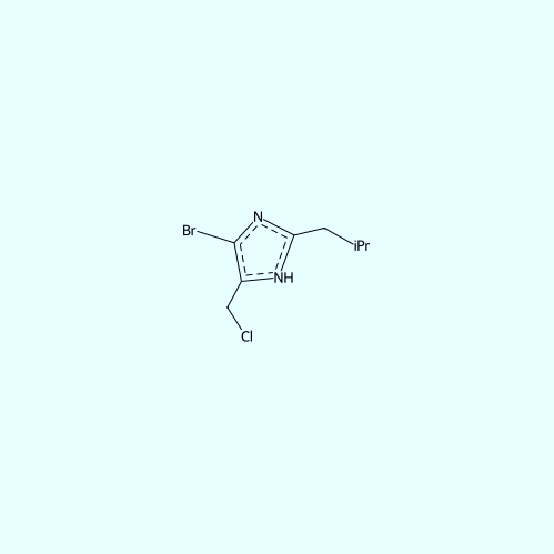 CC(C)Cc1nc(Br)c(CCl)[nH]1